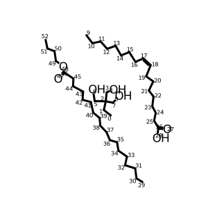 CCC(CO)(CO)CO.CCCCCCCC/C=C\CCCCCCCC(=O)O.CCCCCCCCCCCCCCCCCC(=O)OCCCC